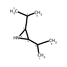 CC(C)C1NC1C(C)C